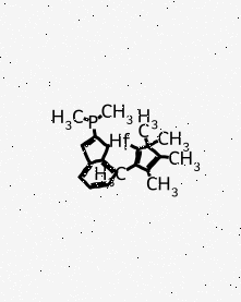 CC1=C(C)C(C)(C)[C]([Hf][CH]2C(P(C)C)=Cc3ccccc32)=C1C